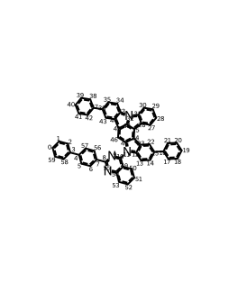 c1ccc(-c2ccc(-c3nc(-n4c5ccc(-c6ccccc6)cc5c5c6c7ccccc7n7c8ccc(-c9ccccc9)cc8c(cc54)c67)c4ccccc4n3)cc2)cc1